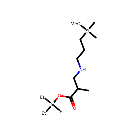 CC[Si](CC)(CC)OC(=O)C(C)CNCCC[Si](C)(C)OC